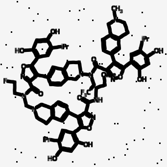 COCCNC(=O)c1noc(-c2cc(C(C)C)c(O)cc2O)c1-c1ccc2c(c1)CCN(CN(CCF)C(=O)c1noc(-c3cc(C(C)C)c(O)cc3O)c1-c1ccc3c(c1)CCN(N(CC(F)(F)F)C(=O)c1noc(-c4cc(C(C)C)c(O)cc4O)c1-c1ccc4c(c1)CCN(C)C4)C3)C2